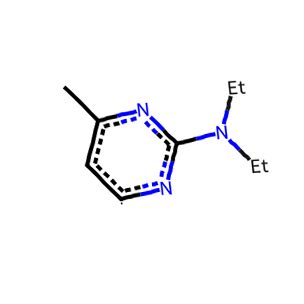 CCN(CC)c1n[c]cc(C)n1